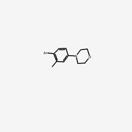 CC(=O)c1ccc(N2CCOCC2)cc1C